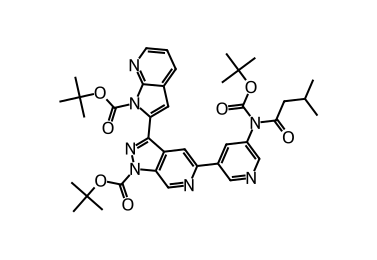 CC(C)CC(=O)N(C(=O)OC(C)(C)C)c1cncc(-c2cc3c(-c4cc5cccnc5n4C(=O)OC(C)(C)C)nn(C(=O)OC(C)(C)C)c3cn2)c1